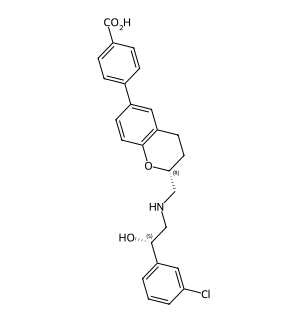 O=C(O)c1ccc(-c2ccc3c(c2)CC[C@H](CNC[C@@H](O)c2cccc(Cl)c2)O3)cc1